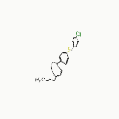 CCCCC1CCC(c2ccc(SCc3ccc(Cl)cc3)cc2)CC1